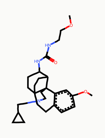 COCCNC(=O)NC1CCC23CCC1C21CCN(CC2CC2)C3Cc2ccc(OC)cc21